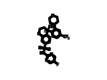 C[C@@]1(c2ccc(C(F)(F)F)cc2N2CCOCC2)CCOc2cc(S(=O)(=O)Nc3ncc(F)cn3)ccc21